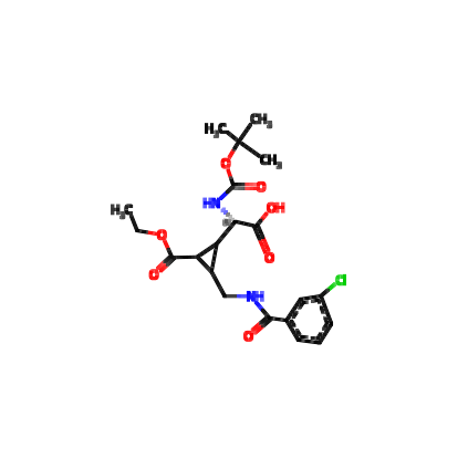 CCOC(=O)C1C(CNC(=O)c2cccc(Cl)c2)C1[C@H](NC(=O)OC(C)(C)C)C(=O)O